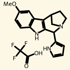 COc1ccc2[nH]c3c(c2c1)C1CCN(C1)C3c1ccc[nH]1.O=C(O)C(F)(F)F